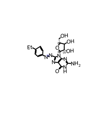 CCc1ccc(/N=N/c2nc3c(=O)[nH]c(N)nc3n2[C@@H]2O[C@H](CO)C(O)[C@@H]2O)cc1